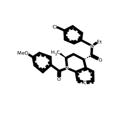 CCN(C(=O)[C@H]1C[C@H](C)N(C(=O)c2ccc(OC)cc2)c2ccccc21)c1ccc(Cl)cc1